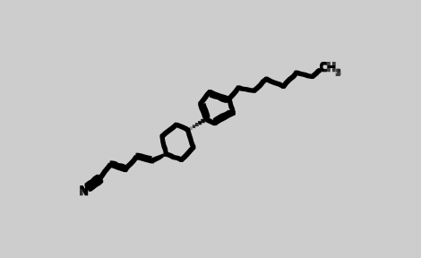 CCCCCCCc1ccc([C@H]2CC[C@H](/C=C/C=C/C#N)CC2)cc1